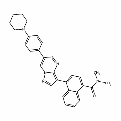 CN(C)C(=O)c1ccc(-c2cnn3cc(-c4ccc(N5CCCCC5)cc4)cnc23)c2ccccc12